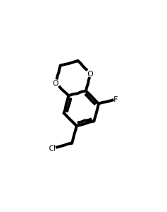 Fc1cc(CCl)cc2c1OCCO2